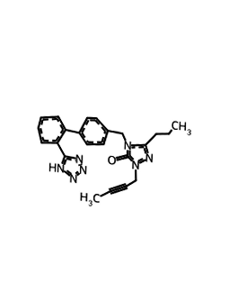 CC#CCn1nc(CCC)n(Cc2ccc(-c3ccccc3-c3nnn[nH]3)cc2)c1=O